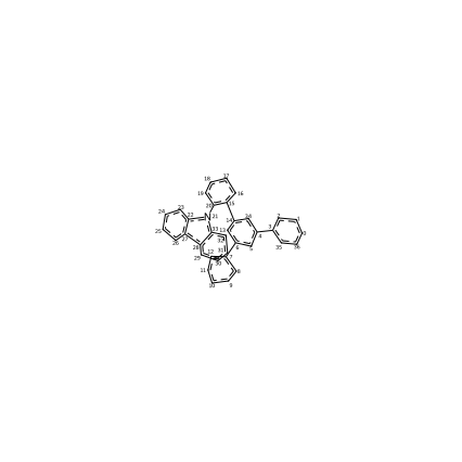 c1ccc(-c2cc(-c3ccccc3)cc(-c3ccccc3-n3c4ccccc4c4ccccc43)c2)cc1